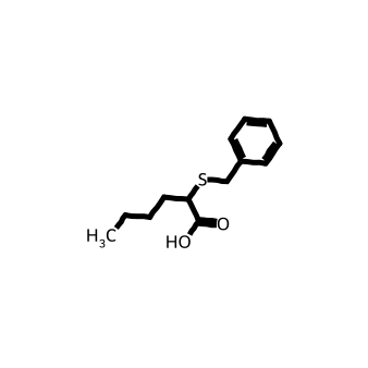 CCCCC(SCc1ccccc1)C(=O)O